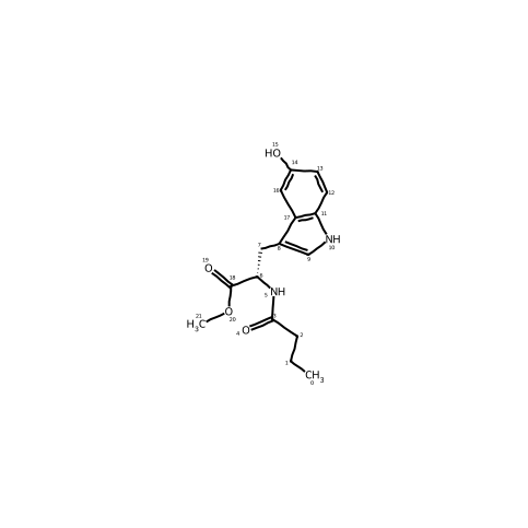 CCCC(=O)N[C@@H](Cc1c[nH]c2ccc(O)cc12)C(=O)OC